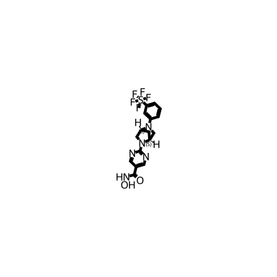 O=C(NO)c1cnc(N2C[C@@H]3C[C@H]2CN3c2cccc(S(F)(F)(F)(F)F)c2)nc1